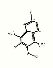 COc1c(C)c(CCl)c(OC)c2ccc(F)cc12